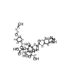 C#CCCOc1ccc(CO[C@]2(C(=O)O)C[C@H](O)[C@@H](NC(=O)CO)[C@H]([C@H](O)[C@H](O)CNC(=O)Cc3ccc4nn[nH]c4c3)O2)cc1